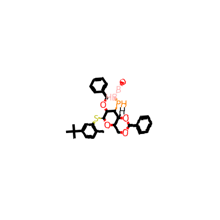 Cc1ccc(C(C)(C)C)cc1S[C@@H]1OC2COC(c3ccccc3)O[C@H]2[C@H](PBB=O)C1OCc1ccccc1